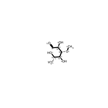 CO[C@H]([C@@H](O)[C@H](C)O)[C@H](O)C=O